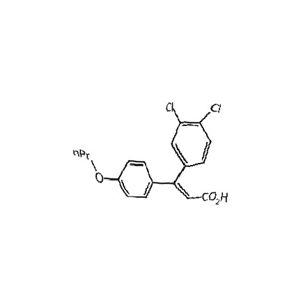 CCCOc1ccc(C(=CC(=O)O)c2ccc(Cl)c(Cl)c2)cc1